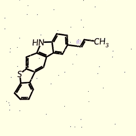 C/C=C/c1ccc2[nH]c3cc4sc5ccccc5c4cc3c2c1